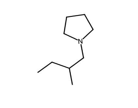 CCC(C)CN1CCCC1